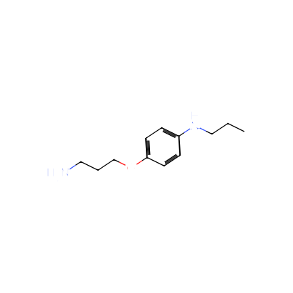 CCCNc1ccc(OCCCN)cc1